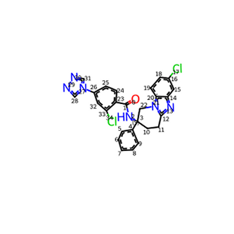 O=C(N[C@]1(c2ccccc2)CCc2nc3cc(Cl)ccc3n2C1)c1ccc(-n2cnnc2)cc1Cl